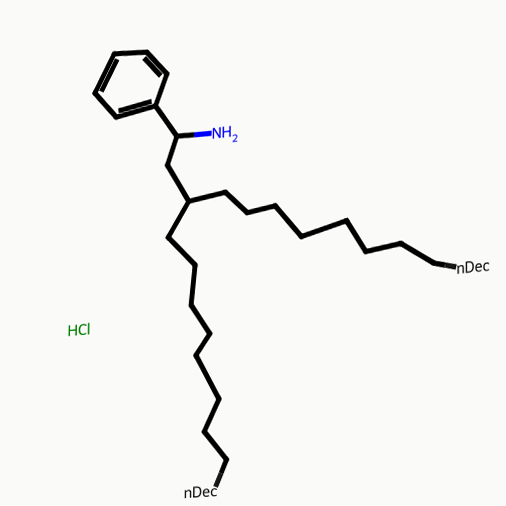 CCCCCCCCCCCCCCCCCCC(CCCCCCCCCCCCCCCCCC)CC(N)c1ccccc1.Cl